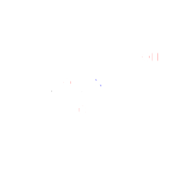 CCC1(OC(=O)N2CCC(O)CC2)CCCCC1